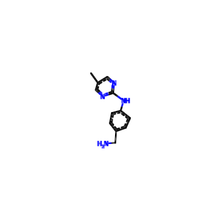 Cc1cnc(Nc2ccc(CN)cc2)nc1